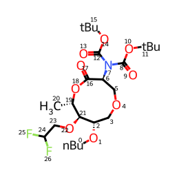 CCCCO[C@H]1COC[C@H](N(C(=O)OC(C)(C)C)C(=O)OC(C)(C)C)C(=O)O[C@@H](C)[C@@H]1OCC(F)F